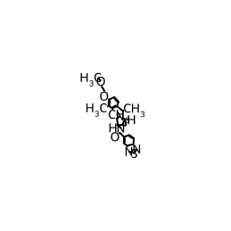 COCCOc1ccc([C@H](C)N2C[C@@H]3C[C@H]2CN3C(=O)c2ccc3nsnc3c2)c(C)c1C